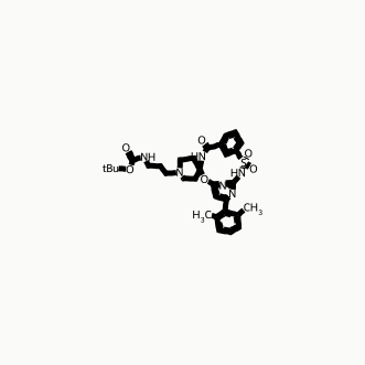 Cc1cccc(C)c1-c1cc2nc(n1)NS(=O)(=O)c1cccc(c1)C(=O)NC1(CCN(CCCNC(=O)OC(C)(C)C)CC1)O2